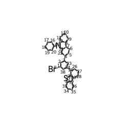 Brc1cc(-c2ccc3c4ccccc4n(-c4ccccc4)c3c2)cc(-c2cccc3c2sc2ccccc23)c1